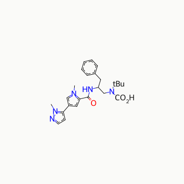 Cn1cc(-c2ccnn2C)cc1C(=O)NC(Cc1ccccc1)CN(C(=O)O)C(C)(C)C